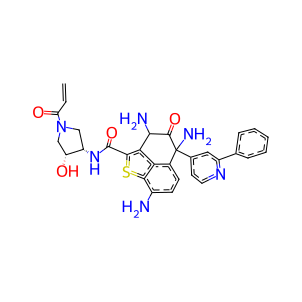 C=CC(=O)N1C[C@@H](O)[C@@H](NC(=O)c2sc3c(N)ccc4c3c2C(N)C(=O)C4(N)c2ccnc(-c3ccccc3)c2)C1